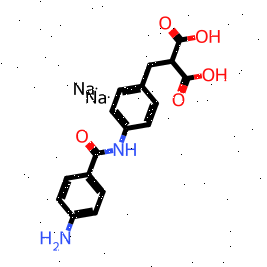 Nc1ccc(C(=O)Nc2ccc(CC(C(=O)O)C(=O)O)cc2)cc1.[Na].[Na]